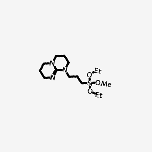 CCO[Si](CCCN1CCCN2CCCN=C21)(OC)OCC